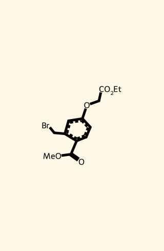 CCOC(=O)COc1ccc(C(=O)OC)c(CBr)c1